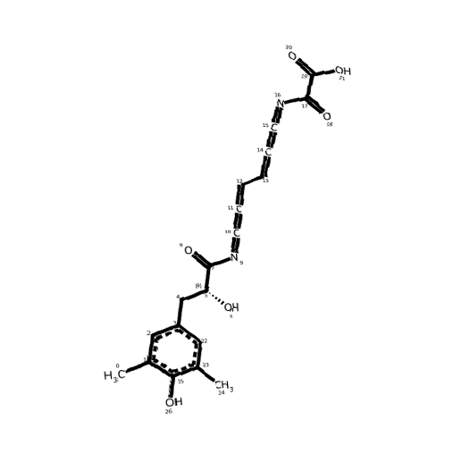 Cc1cc(C[C@@H](O)C(=O)N=C=C=CC=C=C=NC(=O)C(=O)O)cc(C)c1O